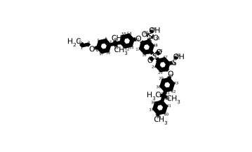 C=CCOc1ccc(C(C)(C)c2ccc(Oc3ccc(S(=O)(=O)c4ccc(Oc5ccc(C(C)(C)c6ccc(C)cc6)cc5)c(SO)c4)cc3S(=O)(=O)O)cc2)cc1